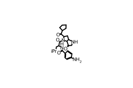 CC(C)CC(NC(=O)c1ccc(N)cc1)C(=O)N1C(C(=O)C2CCCC2)CC2NCC(=O)C21